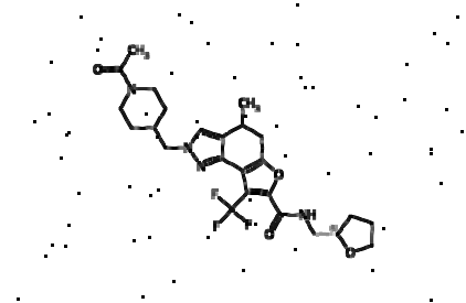 CC(=O)N1CCC(Cn2cc3c(n2)-c2c(oc(C(=O)NC[C@@H]4CCCO4)c2C(F)(F)F)CC3C)CC1